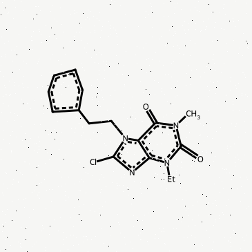 CCn1c(=O)n(C)c(=O)c2c1nc(Cl)n2CCc1ccccc1